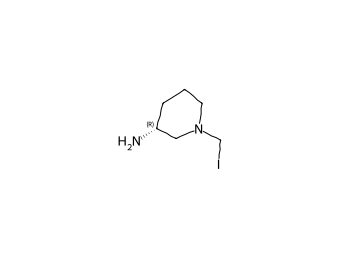 N[C@@H]1CCCN(CI)C1